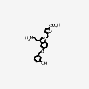 N#Cc1cccc(COc2ccc3c(c2)c(CCN)cn3Cc2ccc(C(=O)O)o2)c1